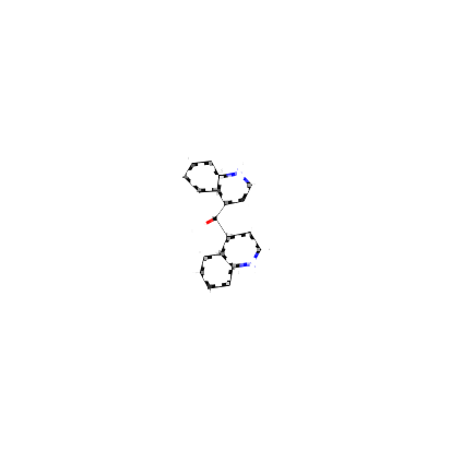 O=C(c1ccnc2ccccc12)c1ccnc2ccccc12